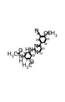 COc1cc(NC(C)=O)cc(Nc2nccc(-c3ccc(OC)c(C#N)c3)n2)c1